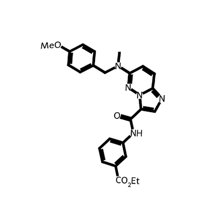 CCOC(=O)c1cccc(NC(=O)c2cnc3ccc(N(C)Cc4ccc(OC)cc4)nn23)c1